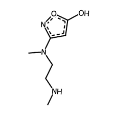 CNCCN(C)c1cc(O)on1